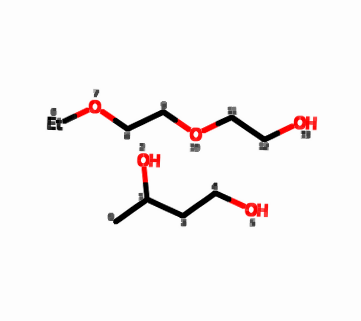 CC(O)CCO.CCOCCOCCO